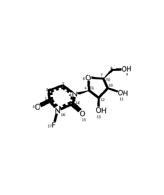 O=c1ccn([C@H]2O[C@@H](CO)C(O)C2O)c(=O)n1F